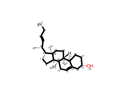 CC(C)CC=C[C@@H](C)[C@H]1CCC2[C@@H]3CC=C4C[C@@H](O)CC[C@]4(C)[C@H]3CC[C@@]21C